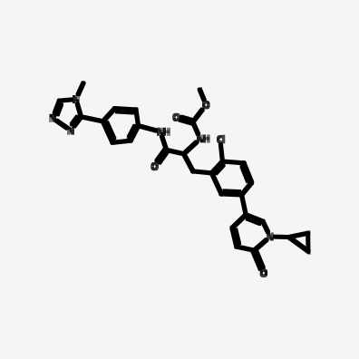 COC(=O)NC(Cc1cc(-c2ccc(=O)n(C3CC3)c2)ccc1Cl)C(=O)Nc1ccc(-c2nncn2C)cc1